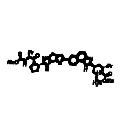 COC(=O)N[C@H](C(=O)N1CCC[C@H]1c1nc2c([nH]1)-c1sc(-c3ccc4c(ccc5nc(C(CCCN)C[C@@H](NC(=O)OC)C(C)C)[nH]c54)c3)cc1C2)C(C)C